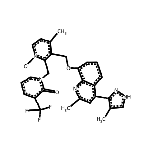 Cc1cc(-c2n[nH]cc2C)c2cccc(OCc3c(C)cc[n+]([O-])c3Cn3cccc(C(F)(F)F)c3=O)c2n1